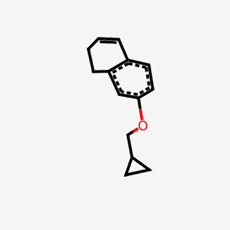 C1=Cc2ccc(OCC3CC3)cc2CC1